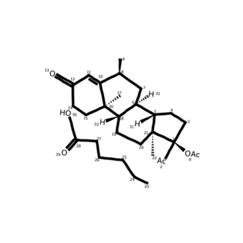 CC(=O)O[C@]1(C(C)=O)CC[C@H]2[C@@H]3C[C@H](C)C4=CC(=O)CC[C@]4(C)[C@H]3CC[C@@]21C.CCCCCC(=O)O